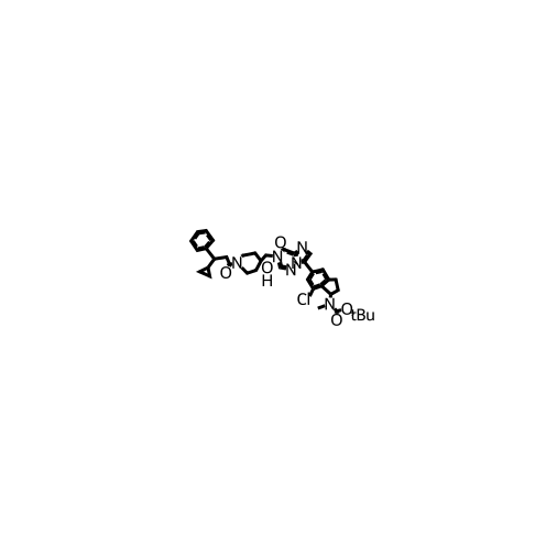 CN(C(=O)OC(C)(C)C)C1CCc2cc(-c3cnc4c(=O)n(CC5(O)CCN(C(=O)CC(c6ccccc6)C6CC6)CC5)cnn34)cc(Cl)c21